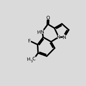 Cc1ccc2c([nH]c(=O)c3ccnn32)c1F